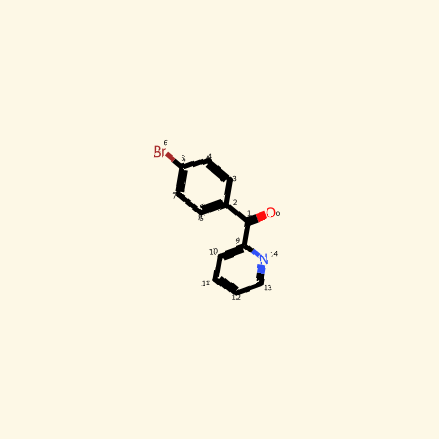 O=C(c1ccc(Br)cc1)c1ccccn1